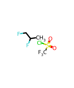 CC(F)CF.O=S(=O)(Cl)C(F)(F)F